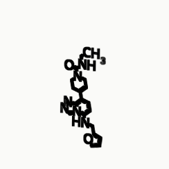 CCNC(=O)N1CC=C(c2ccc(NCc3ccco3)n3cnnc23)CC1